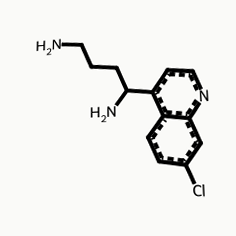 NCCCC(N)c1ccnc2cc(Cl)ccc12